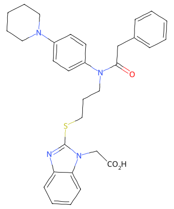 O=C(O)Cn1c(SCCCN(C(=O)Cc2ccccc2)c2ccc(N3CCCCC3)cc2)nc2ccccc21